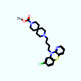 CC(C)(C)OC(=O)N1CCC2(CCN(CCCCN3c4cc(Cl)ccc4Sc4cccnc43)CC2)CC1